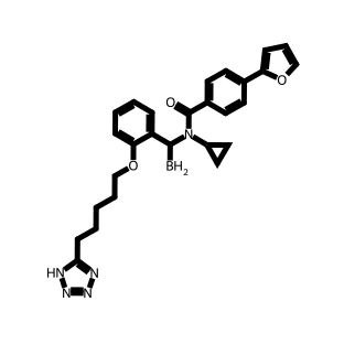 BC(c1ccccc1OCCCCCc1nnn[nH]1)N(C(=O)c1ccc(-c2ccco2)cc1)C1CC1